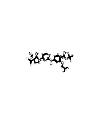 CC(C)COc1cc(Nc2nccc(N3CC[C@@](C#N)(C(C)C)C3=O)n2)ccc1C(=O)OC(C)(C)C